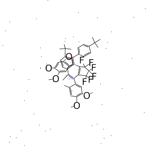 COc1cc(C)c(/C(C2=C(c3c(-c4ccc(C(C)(C)C)cc4)oc4cc(OC)c(OC)cc34)C(F)(F)C(F)(F)C2(F)F)=C(\C)c2ccc(C(C)(C)C)cc2)cc1OC